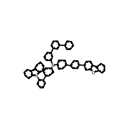 c1ccc(-c2cccc(-c3cccc(N(c4ccc(-c5ccc(-c6ccc7c(c6)oc6ccccc67)cc5)cc4)c4ccc(-c5ccccc5-n5c6ccccc6c6ccccc65)cc4)c3)c2)cc1